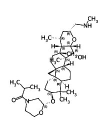 CNC[C@H]1C[C@@H](C)[C@@H]2[C@H](O1)[C@H](O)[C@@]1(C)[C@@H]3CC[C@H]4C(C)(C)[C@@H](O[C@H]5CN(C(=O)C(C)C)CCO5)CC[C@@]45C[C@@]35CC[C@]21C